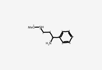 CO[SiH]CCC(N)c1ccccc1